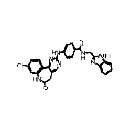 O=C1Cc2cnc(Nc3ccc(C(=O)NCc4nc5ccccc5[nH]4)cc3)nc2-c2ccc(Cl)cc2N1